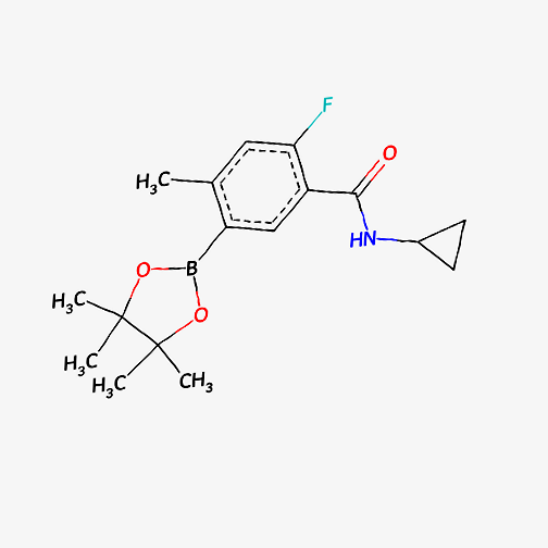 Cc1cc(F)c(C(=O)NC2CC2)cc1B1OC(C)(C)C(C)(C)O1